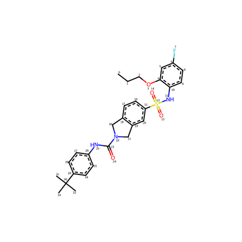 CCCOc1cc(F)ccc1NS(=O)(=O)c1ccc2c(c1)CN(C(=O)Nc1ccc(C(C)(C)C)cc1)C2